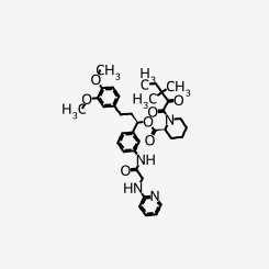 CCC(C)(C)C(=O)C(=O)N1CCCC[C@H]1C(=O)O[C@H](CCc1ccc(OC)c(OC)c1)c1cccc(NC(=O)CNc2ccccn2)c1